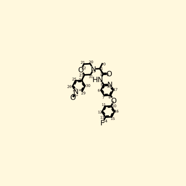 CC(C(=O)Nc1ccc(Oc2ccc(F)cc2)cn1)N1CCOC(c2cc[n+]([O-])cc2)C1